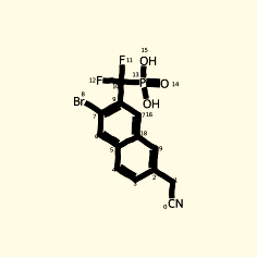 N#CCc1ccc2cc(Br)c(C(F)(F)P(=O)(O)O)cc2c1